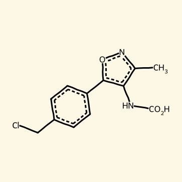 Cc1noc(-c2ccc(CCl)cc2)c1NC(=O)O